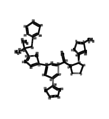 Cc1csc([C@H]2CCCN2C(=O)c2cc(-c3cnc(C(C)(N)Cc4ccccc4)o3)cc(-c3ncco3)c2)n1